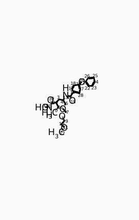 CCC(CC(COCOCCOC)NC(=O)c1ccc(Oc2ccccc2)cc1)C(=O)NO